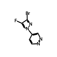 Fc1cn(-c2ccnnc2)nc1Br